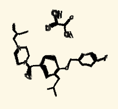 CC(C)Cc1cc(C(=O)N2CCN(CC(C)C)CC2)ccc1OCc1ccc(F)cc1.O=C(O)C(=O)O